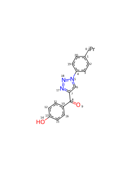 CC(C)c1ccc(-n2cc(C(=O)c3ccc(O)cc3)nn2)cc1